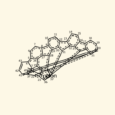 CCCCCCCCCN1CC23C4=c5ccc6c7ccc8c9ccc%10c%11ccc%12c%13c(c%14c%15c2c5c6c2c7c8c5c9c%10c(c%13%11)c%14c5c%152)C3(C1)C=%12C=C4